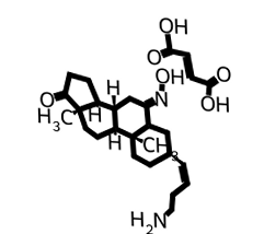 C[C@]12CC[C@H](/C=C\CCN)CC1/C(=N/O)C[C@@H]1[C@@H]2CC[C@]2(C)C(=O)CC[C@@H]12.O=C(O)/C=C/C(=O)O